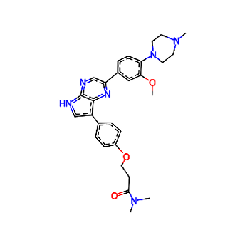 COc1cc(-c2cnc3[nH]cc(-c4ccc(OCCC(=O)N(C)C)cc4)c3n2)ccc1N1CCN(C)CC1